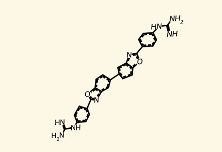 N=C(N)Nc1ccc(-c2nc3cc(-c4ccc5oc(-c6ccc(NC(=N)N)cc6)nc5c4)ccc3o2)cc1